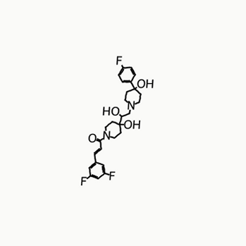 O=C(C=Cc1cc(F)cc(F)c1)N1CCC(O)(C(O)CN2CCC(O)(c3ccc(F)cc3)CC2)CC1